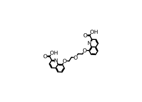 O=C(O)c1ccc2cccc(OCCOCCOc3cccc4ccc(C(=O)O)nc34)c2n1